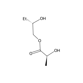 CC[C@H](O)COC(=O)[C@H](C)O